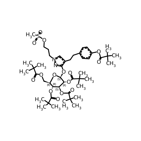 CC(C)(C)C(=O)OC[C@H]1O[C@@H](Oc2nn(CCCOS(C)(=O)=O)cc2CCc2ccc(OC(=O)C(C)(C)C)cc2)[C@H](OC(=O)C(C)(C)C)[C@@H](OC(=O)C(C)(C)C)[C@@H]1OC(=O)C(C)(C)C